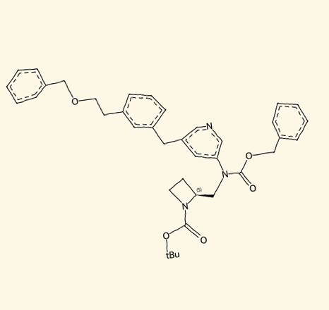 CC(C)(C)OC(=O)N1CC[C@H]1CN(C(=O)OCc1ccccc1)c1cncc(Cc2cccc(CCOCc3ccccc3)c2)c1